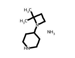 CC1(C)CCN1C1CCNCC1.N